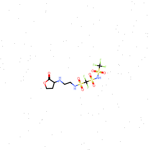 O=C1OCCC1NCCNS(=O)(=O)C(F)(F)S(=O)(=O)NS(=O)(=O)C(F)(F)F